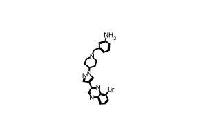 Nc1cccc(CN2CCC(n3cc(-c4cnc5cccc(Br)c5n4)cn3)CC2)c1